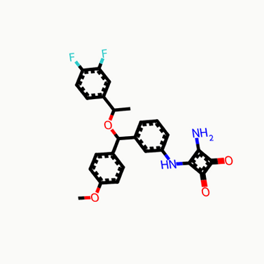 COc1ccc(C(OC(C)c2ccc(F)c(F)c2)c2cccc(Nc3c(N)c(=O)c3=O)c2)cc1